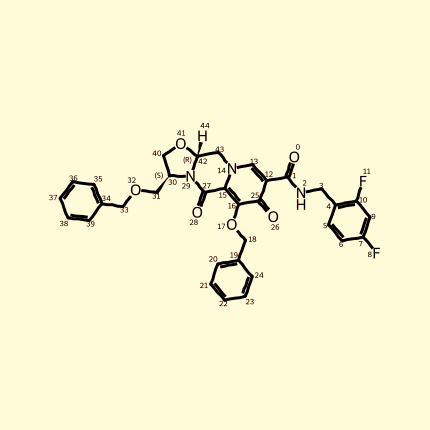 O=C(NCc1ccc(F)cc1F)c1cn2c(c(OCc3ccccc3)c1=O)C(=O)N1[C@@H](COCc3ccccc3)CO[C@@H]1C2